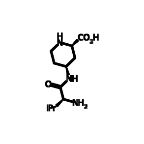 CC(C)[C@H](N)C(=O)N[C@H]1CCN[C@@H](C(=O)O)C1